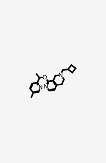 Cc1ccc(C(C)Oc2nccc3c2CN(CC2CCC2)CC3)nc1